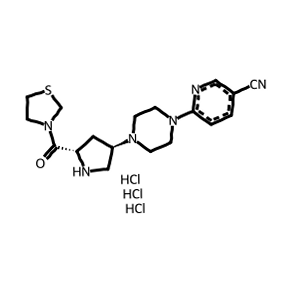 Cl.Cl.Cl.N#Cc1ccc(N2CCN([C@H]3CN[C@H](C(=O)N4CCSC4)C3)CC2)nc1